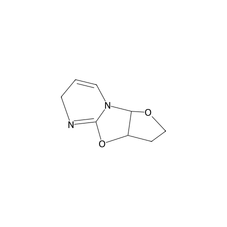 C1=CN2C(=NC1)OC1CCOC12